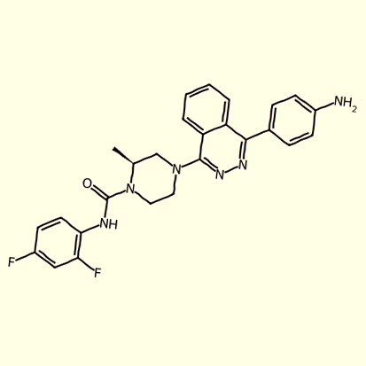 C[C@H]1CN(c2nnc(-c3ccc(N)cc3)c3ccccc23)CCN1C(=O)Nc1ccc(F)cc1F